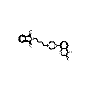 O=C1COc2c(cccc2N2CCN(CCCCN3C(=O)c4ccccc4C3=O)CC2)N1